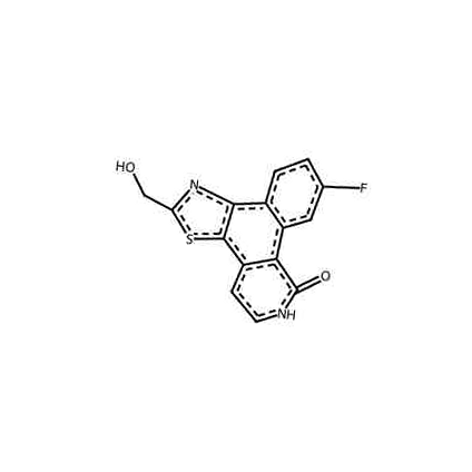 O=c1[nH]ccc2c3sc(CO)nc3c3ccc(F)cc3c12